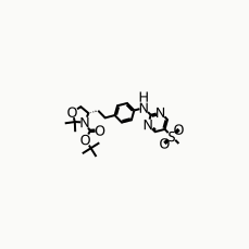 CC(C)(C)OC(=O)N1[C@@H](CCc2ccc(Nc3ncc(S(C)(=O)=O)cn3)cc2)COC1(C)C